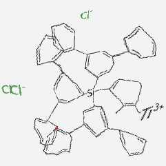 CC1=[C]([Ti+3])CC=C1[Si](c1cc(-c2ccccc2)cc(-c2ccccc2)c1)(c1cc(-c2ccccc2)cc(-c2ccccc2)c1)c1cc(-c2ccccc2)cc(-c2ccccc2)c1.[Cl-].[Cl-].[Cl-]